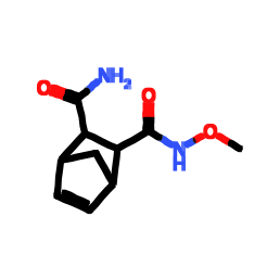 CONC(=O)C1C2C=CC(C2)C1C(N)=O